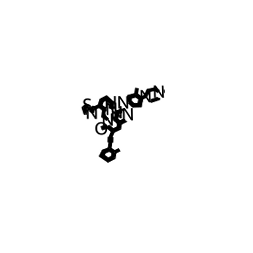 Cc1ccccc1C#Cc1cc2cnc(Nc3ccc(N4CCN(C)CC4)c(C)c3)nc2n(Cc2ncccc2-c2nccs2)c1=O